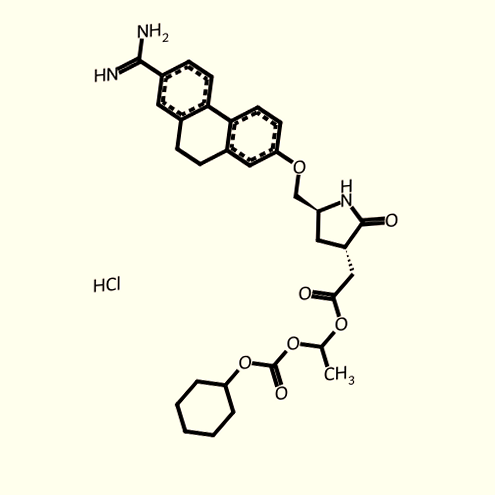 CC(OC(=O)C[C@@H]1C[C@@H](COc2ccc3c(c2)CCc2cc(C(=N)N)ccc2-3)NC1=O)OC(=O)OC1CCCCC1.Cl